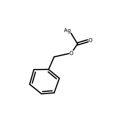 O=[C]([Ag])OCc1ccccc1